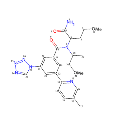 COCCC(C(N)=O)N(C(=O)c1cc(-c2ccc(C)cn2)cc(-n2cnnn2)c1)C(C)COC